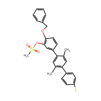 Cc1cc(-c2ccc(OCc3ccccc3)c(OS(C)(=O)=O)c2)c(C)cc1-c1ccc(F)cc1